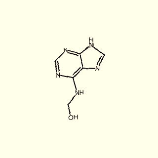 OCNc1ncnc2[nH]cnc12